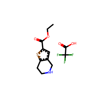 CCOC(=O)c1cc2c(s1)CCNC2.O=C(O)C(F)(F)F